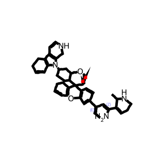 C/C=C(\C=C(/N)C1=CCCNC1C)c1ccc2c(c1)OC1=C(CCC=C1)C21c2ccccc2OC2CC(n3c4c(c5c3CNC=C5)CCC=C4)CCC21